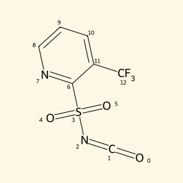 O=C=NS(=O)(=O)c1ncccc1C(F)(F)F